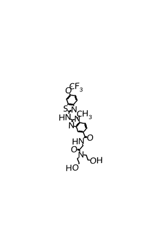 Cn1c(Nc2nc3ccc(OC(F)(F)F)cc3s2)nc2cc(C(=O)NCC(=O)N(CCO)CCO)ccc21